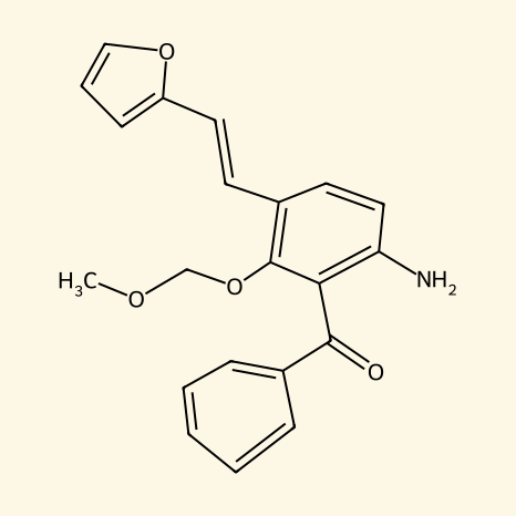 COCOc1c(C=Cc2ccco2)ccc(N)c1C(=O)c1ccccc1